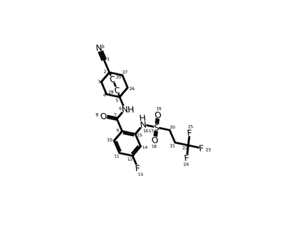 N#CC12CCC(NC(=O)c3ccc(F)cc3NS(=O)(=O)CCC(F)(F)F)(CC1)CC2